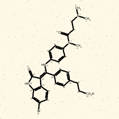 CN(C)CCC(=O)N(C)c1ccc(N/C(=C2\C(=O)Nc3cc(Br)ccc32)c2ccc(CCC(=O)O)cc2)cc1